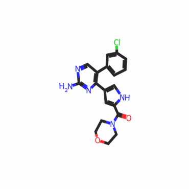 Nc1ncc(-c2cccc(Cl)c2)c(-c2c[nH]c(C(=O)N3CCOCC3)c2)n1